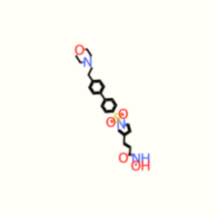 O=C(/C=C/c1ccn(S(=O)(=O)c2ccc(-c3ccc(CCN4CCOCC4)cc3)cc2)c1)NO